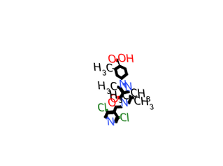 Cc1c(C(=O)N(CC(=O)c2c(Cl)cncc2Cl)CC(C)(C)C)cnn1[C@H]1CC[C@H](C(=O)O)[C@@H](C)C1